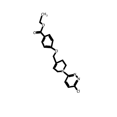 CCOC(=O)c1ccc(OCC2=CCN(c3ccc(Cl)nn3)CC2)cc1